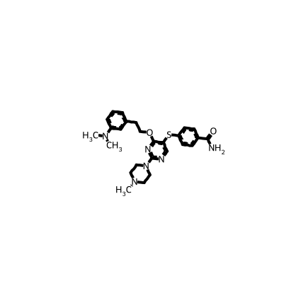 CN1CCN(c2ncc(Sc3ccc(C(N)=O)cc3)c(OCCc3cccc(N(C)C)c3)n2)CC1